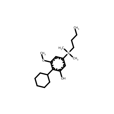 CCCC[Si](C)(C)c1cc(O)c(C2CCCCC2)c(OC)c1